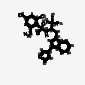 Nc1cc(Cl)cc(Cl)c1S(=O)(=O)NC(Cn1cc(-c2cnoc2)c2ccccc21)C(F)(F)F